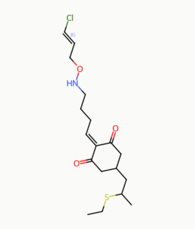 CCSC(C)CC1CC(=O)C(=CCCCNOC/C=C/Cl)C(=O)C1